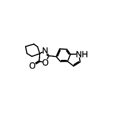 O=C1OC(c2ccc3[nH]ccc3c2)=NC12CCCCC2